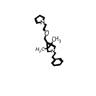 CC12CN(CCc3ccccc3)CC1(C)C2COCCN1CCCC1